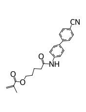 C=C(C)C(=O)OCCCCC(=O)Nc1ccc(-c2ccc(C#N)cc2)cc1